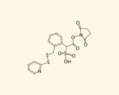 O=C(ON1C(=O)CCC1=O)C(c1ccccc1CSSc1ccccn1)S(=O)(=O)O